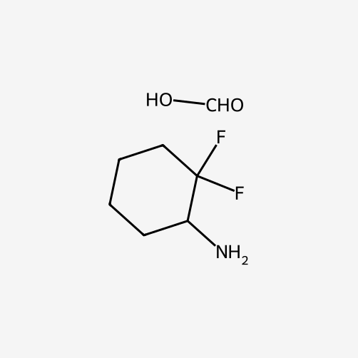 NC1CCCCC1(F)F.O=CO